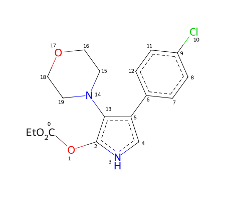 CCOC(=O)Oc1[nH]cc(-c2ccc(Cl)cc2)c1N1CCOCC1